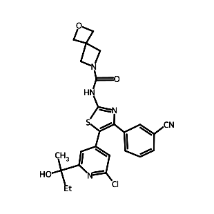 CCC(C)(O)c1cc(-c2sc(NC(=O)N3CC4(COC4)C3)nc2-c2cccc(C#N)c2)cc(Cl)n1